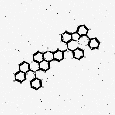 c1ccc(B(c2cccc3ccccc23)c2ccc3c4c(cccc24)Oc2cc(N(c4ccccc4)c4cccc5c4oc4c(-c6ccccc6)cccc45)ccc2-3)cc1